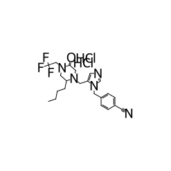 CCCCC1CN(CC(F)(F)F)C(=O)CN1Cc1cncn1Cc1ccc(C#N)cc1.Cl.Cl